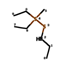 CCBSS(C)(CC)CC